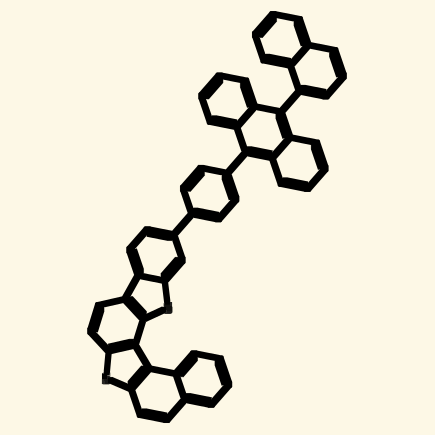 c1ccc2c(-c3c4ccccc4c(-c4ccc(-c5ccc6c(c5)sc5c6ccc6sc7ccc8ccccc8c7c65)cc4)c4ccccc34)cccc2c1